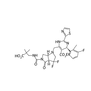 CCOC(=O)C1=C(CN2CC(F)(F)[C@@H]3C(=O)N(C(=O)NCC(C)(C)C(=O)O)C[C@@H]32)NC(c2nccs2)=N[C@H]1c1cccc(F)c1C